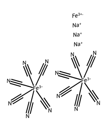 N#[C][Fe-3]([C]#N)([C]#N)([C]#N)([C]#N)[C]#N.N#[C][Fe-3]([C]#N)([C]#N)([C]#N)([C]#N)[C]#N.[Fe+3].[Na+].[Na+].[Na+]